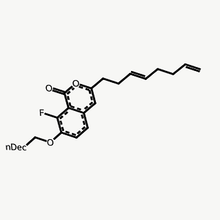 C=CCC/C=C/CCc1cc2ccc(OCCCCCCCCCCC)c(F)c2c(=O)o1